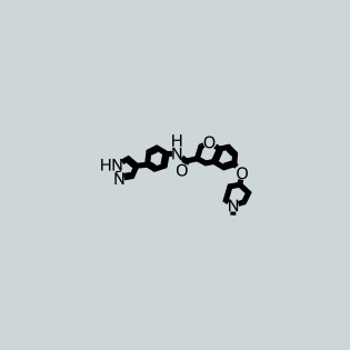 CN1CCC(Oc2ccc3c(c2)CC(C(=O)Nc2ccc(-c4cn[nH]c4)cc2)CO3)CC1